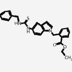 CCOC(=O)c1ccccc1Cn1ccc2cc(NC(=S)NCc3ccccc3)ccc21